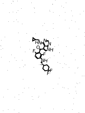 O=C(c1c(F)ccc(NSC2CCC(F)(F)CC2)c1F)c1c[nH]c2ncnc(NCC3CC3)c12